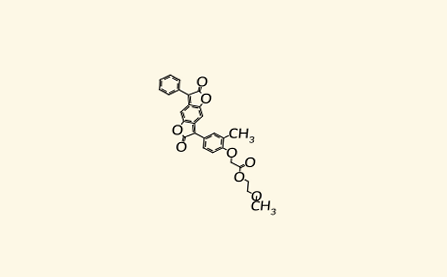 COCCOC(=O)COc1ccc(C2=c3cc4c(cc3OC2=O)=C(c2ccccc2)C(=O)O4)cc1C